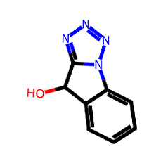 OC1c2ccccc2-n2nnnc21